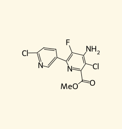 COC(=O)c1nc(-c2ccc(Cl)nc2)c(F)c(N)c1Cl